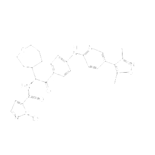 CCn1nccc1C(=O)N[C@H](C(=O)c1ccc(Nc2ccc(-c3c(C)noc3C)cn2)cc1)C1CCCCCC1